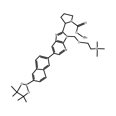 CC(C)(C)OC(=O)N1CCCC1c1nc2cc(-c3ccc4cc(B5OC(C)(C)C(C)(C)O5)ccc4c3)cnc2n1COCC[Si](C)(C)C